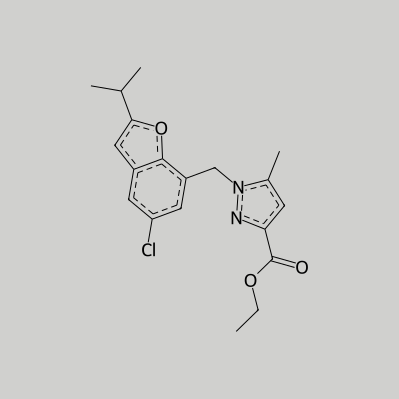 CCOC(=O)c1cc(C)n(Cc2cc(Cl)cc3cc(C(C)C)oc23)n1